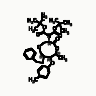 Cc1ccc(O[C@@H]2[C@@H](CCc3ccccc3)COC[C@H](N(C(=O)OC(C)(C)C)C(=O)OC(C)(C)C)C(=O)O[C@H]2C)cc1